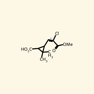 COC(=O)/C(Cl)=C\C1C(C(=O)O)C1(C)C